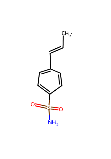 [CH2]C=Cc1ccc(S(N)(=O)=O)cc1